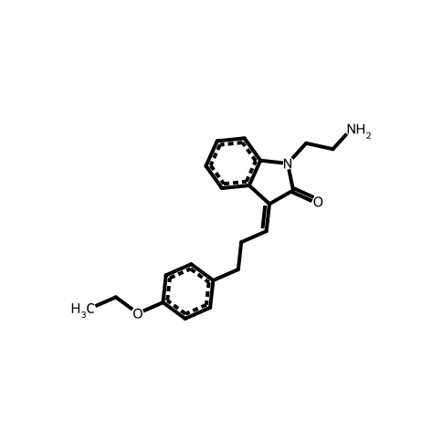 CCOc1ccc(CC/C=C2/C(=O)N(CCN)c3ccccc32)cc1